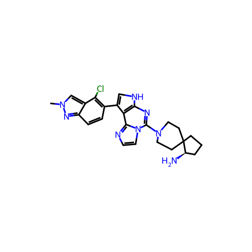 Cn1cc2c(Cl)c(-c3c[nH]c4nc(N5CCC6(CCC[C@H]6N)CC5)n5ccnc5c34)ccc2n1